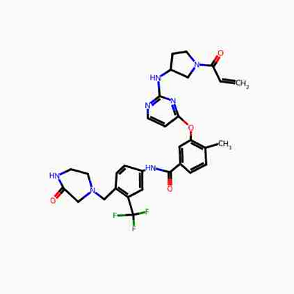 C=CC(=O)N1CCC(Nc2nccc(Oc3cc(C(=O)Nc4ccc(CN5CCNC(=O)C5)c(C(F)(F)F)c4)ccc3C)n2)C1